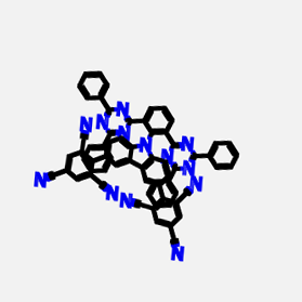 N#Cc1cc(C#N)c(-c2ccc3c(c2)c2cc(-c4c(C#N)cc(C#N)cc4C#N)ccc2n3-c2c(-c3nc(-c4ccccc4)nc(-c4ccccc4)n3)cccc2-c2nc(-c3ccccc3)nc(-c3ccccc3)n2)c(C#N)c1